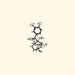 CCC[C@]1(C(O)c2ccc(Cl)c(Cl)c2)CC[C@@H]2CC[C@H]1N2C(=O)O